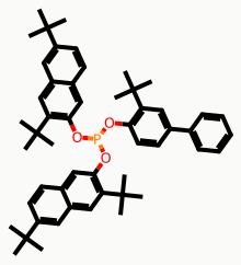 CC(C)(C)c1ccc2cc(OP(Oc3ccc(-c4ccccc4)cc3C(C)(C)C)Oc3cc4ccc(C(C)(C)C)cc4cc3C(C)(C)C)c(C(C)(C)C)cc2c1